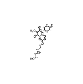 Cn1c(=O)c2nc(OCCCNCCO)nnc2n(-c2ccc(F)cc2)c1=O